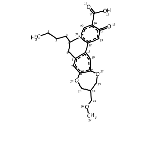 CCCCC1Cc2cc3c(cc2-c2cc(=O)c(C(=O)O)cn21)OCC(COC)CO3